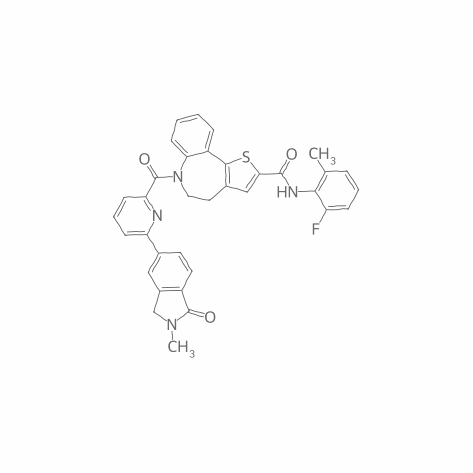 Cc1cccc(F)c1NC(=O)c1cc2c(s1)-c1ccccc1N(C(=O)c1cccc(-c3ccc4c(c3)CN(C)C4=O)n1)CC2